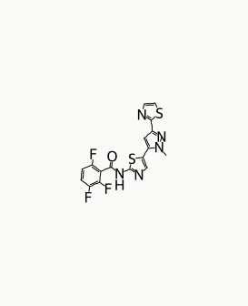 Cn1nc(-c2nccs2)cc1-c1cnc(NC(=O)c2c(F)ccc(F)c2F)s1